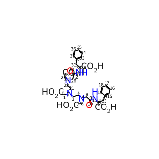 O=C(O)CN(CCN(CC(=O)O)CC(=O)NC(Cc1ccccc1)C(=O)O)CCN(CC(=O)O)CC(=O)NC(Cc1ccccc1)C(=O)O